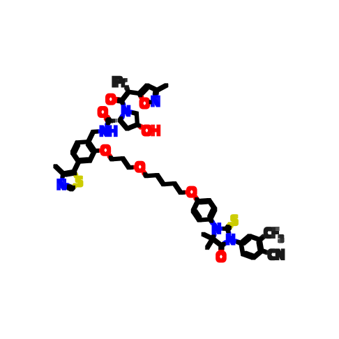 Cc1cc([C@@H](C(=O)N2C[C@@H](O)C[C@@H]2C(=O)NCc2ccc(-c3scnc3C)cc2OCCCOCCCCCOc2ccc(N3C(=S)N(c4ccc(C#N)c(C(F)(F)F)c4)C(=O)C3(C)C)cc2)C(C)C)on1